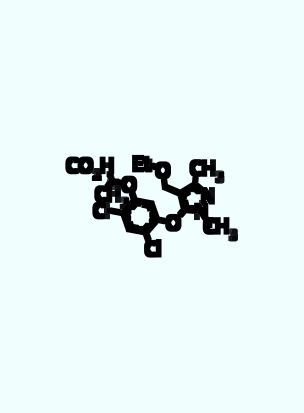 CCOCc1c(C)nn(C)c1Oc1cc(O[C@@H](C)C(=O)O)c(Cl)cc1Cl